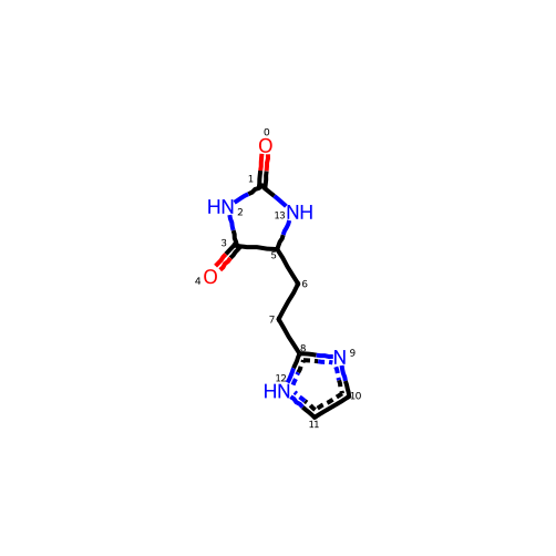 O=C1NC(=O)C(CCc2ncc[nH]2)N1